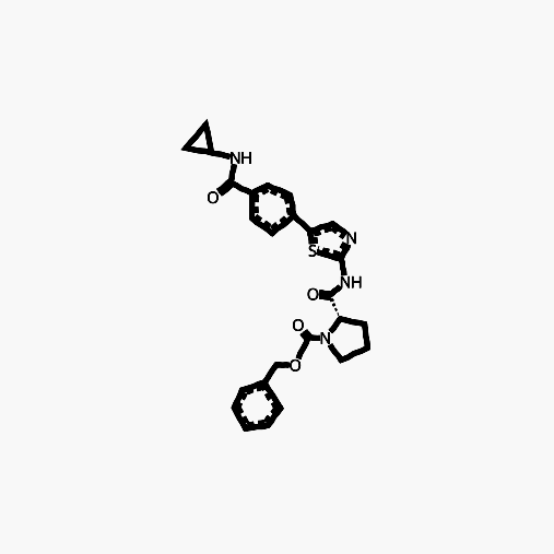 O=C(NC1CC1)c1ccc(-c2cnc(NC(=O)[C@@H]3CCCN3C(=O)OCc3ccccc3)s2)cc1